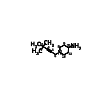 CC(C)(C)C#CCN1CCC(N)CC1